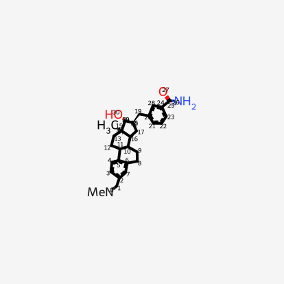 CNCc1ccc2c(c1)CCC1C2CC[C@@]2(C)C1C[C@H](Cc1cccc(C(N)=O)c1)[C@@H]2O